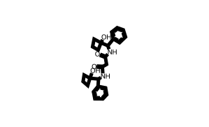 O=C(CC(=O)NC(c1ccccc1)C1(O)CCC1)NC(c1ccccc1)C1(O)CCC1